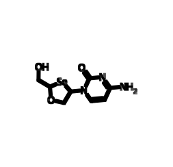 Nc1ccn(C2COC(CO)[Se]2)c(=O)n1